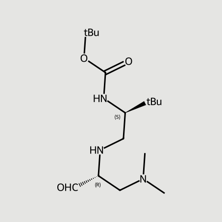 CN(C)C[C@H](C=O)NC[C@@H](NC(=O)OC(C)(C)C)C(C)(C)C